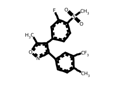 Cc1ccc(-c2noc(C)c2-c2ccc(S(C)(=O)=O)c(F)c2)cc1C(F)(F)F